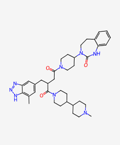 Cc1cc(CC(CC(=O)N2CCC(N3CCc4ccccc4NC3=O)CC2)C(=O)N2CCC(C3CCN(C)CC3)CC2)cc2nn[nH]c12